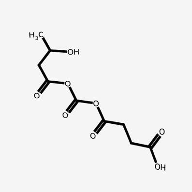 CC(O)CC(=O)OC(=O)OC(=O)CCC(=O)O